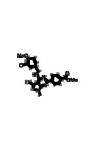 CCc1nn(C)c2nc(-c3ccc(C(=O)OC)cc3)nc(NCc3ccc(OC)c(Cl)c3)c12